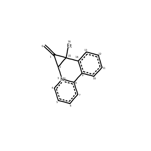 C=C1C2[n+]3ccccc3-c3ccccc3C12CC